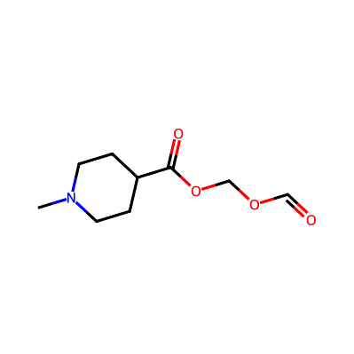 CN1CCC(C(=O)OCOC=O)CC1